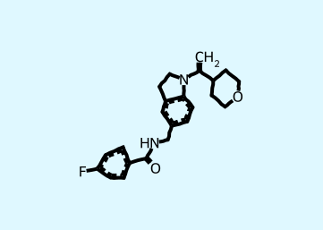 C=C(C1CCOCC1)N1CCc2cc(CNC(=O)c3ccc(F)cc3)ccc21